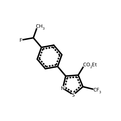 CCOC(=O)c1c(-c2ccc(C(C)F)cc2)nsc1C(F)(F)F